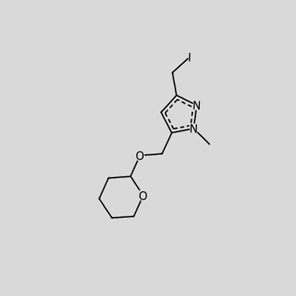 Cn1nc(CI)cc1COC1CCCCO1